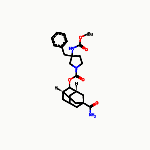 CC(C)(C)OC(=O)NC1(Cc2ccccc2)CCN(C(=O)OC2[C@@H]3CC4C[C@@H]2CC(C(N)=O)(C4)C3)C1